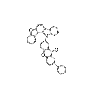 O=c1c2cc(-c3ccccc3)ccc2oc2ccc(-n3c4ccccc4c4ccc5oc6ccccc6c5c43)cc12